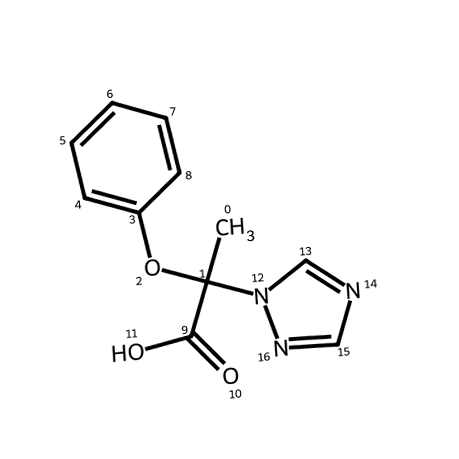 CC(Oc1ccccc1)(C(=O)O)n1cncn1